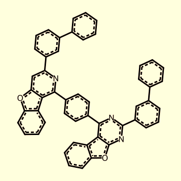 c1ccc(-c2cccc(-c3cc4oc5ccccc5c4c(-c4ccc(-c5nc(-c6cccc(-c7ccccc7)c6)nc6oc7ccccc7c56)cc4)n3)c2)cc1